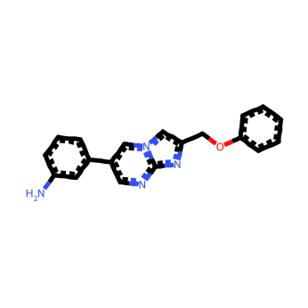 Nc1cccc(-c2cnc3nc(COc4ccccc4)cn3c2)c1